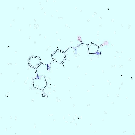 O=C1CC(C(=O)NCc2ccc(Nc3ccccc3N3CCC(C(F)(F)F)CC3)cc2)CN1